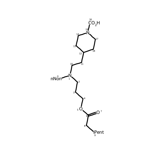 CCCCCCCCCN(CCCOC(=O)CC(C)CCC)CCC1CCN(C(=O)O)CC1